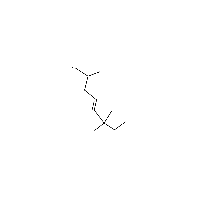 [CH2]C(C)C/C=C/C(C)(C)CC